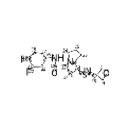 Cc1c(SNC2(C)COC2)c2n(c1C(=O)Nc1ccc(F)c(F)c1)CCC2